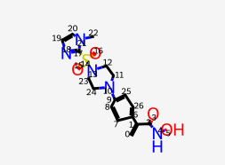 C=C(C(=O)NO)c1ccc(N2CCN(S(=O)(=O)c3nccn3C)CC2)cc1